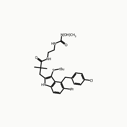 CC(C)c1ccc2[nH]c(CC(C)(C)C(=O)NCCNC(=O)N(C)O)c(SC(C)(C)C)c2c1Cc1ccc(Cl)cc1